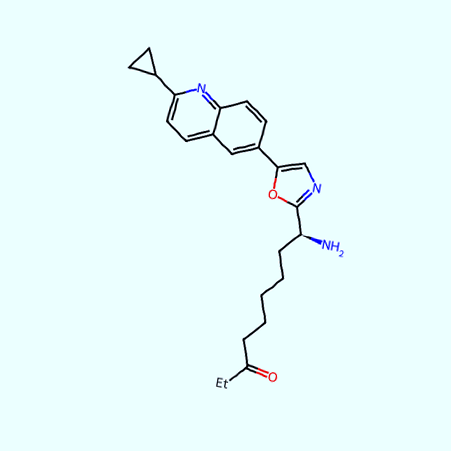 CCC(=O)CCCCC[C@H](N)c1ncc(-c2ccc3nc(C4CC4)ccc3c2)o1